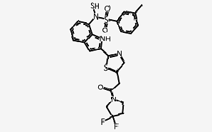 Cc1cccc(S(=O)(=O)N(S)c2cccc3cc(C4=NCC(CC(=O)N5CCC(F)(F)C5)S4)[nH]c23)c1